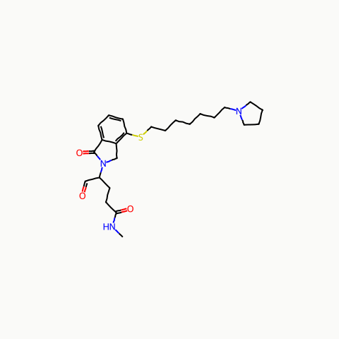 CNC(=O)CCC(C=O)N1Cc2c(SCCCCCCCN3CCCC3)cccc2C1=O